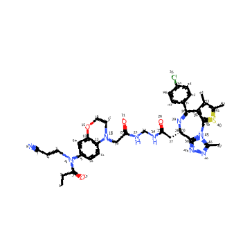 CCC(=O)N(CCC#N)c1ccc2c(c1)OCCN2CC(=O)NCNC(=O)C[C@@H]1N=C(c2ccc(Cl)cc2)c2c(sc(C)c2C)-n2c(C)nnc21